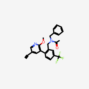 C#Cc1cnc(OC)c(-c2ccc(C(F)(F)F)cc2CN(Cc2ccccc2)C(C)=O)c1